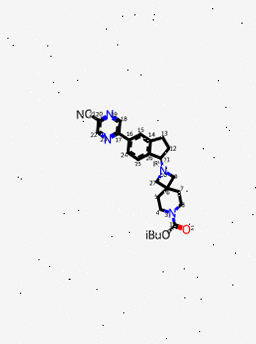 CC(C)COC(=O)N1CCC2(CC1)CN([C@@H]1CCc3cc(-c4cnc(C#N)cn4)ccc31)C2